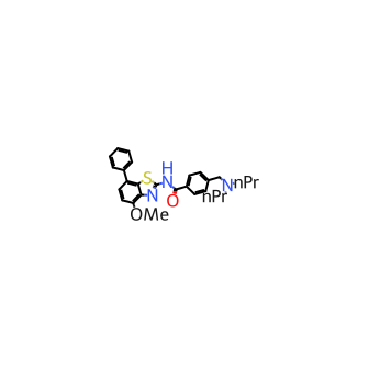 CCCN(CCC)Cc1ccc(C(=O)Nc2nc3c(OC)ccc(-c4ccccc4)c3s2)cc1